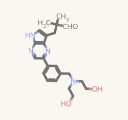 CC(C)(C=O)Cc1c[nH]c2ncc(-c3cccc(CN(CCO)CCO)c3)nc12